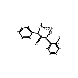 CCN(C(=O)C(NC(=O)O)c1ccccc1)c1ccccc1C